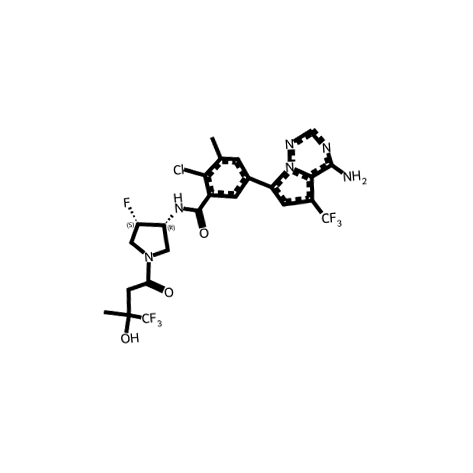 Cc1cc(-c2cc(C(F)(F)F)c3c(N)ncnn23)cc(C(=O)N[C@@H]2CN(C(=O)CC(C)(O)C(F)(F)F)C[C@@H]2F)c1Cl